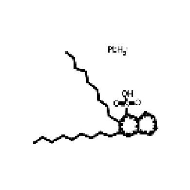 CCCCCCCCCc1cc2ccccc2c(S(=O)(=O)O)c1CCCCCCCCC.[PbH2]